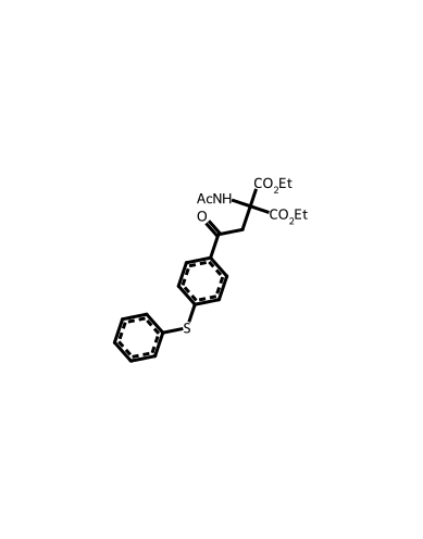 CCOC(=O)C(CC(=O)c1ccc(Sc2ccccc2)cc1)(NC(C)=O)C(=O)OCC